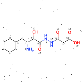 N[C@H](CC1CCCCC1)C(O)C(=O)NNC(=O)CC(=O)O